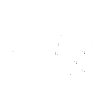 CCO[C@H]1CC[C@](C)(N2CCC(n3c(=O)[nH]c4ccc(C)nc43)CC2)CC1.Cl